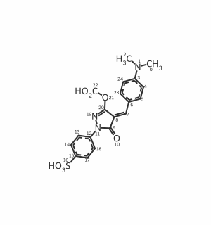 CN(C)c1ccc(C=C2C(=O)N(c3ccc(S(=O)(=O)O)cc3)N=C2OC(=O)O)cc1